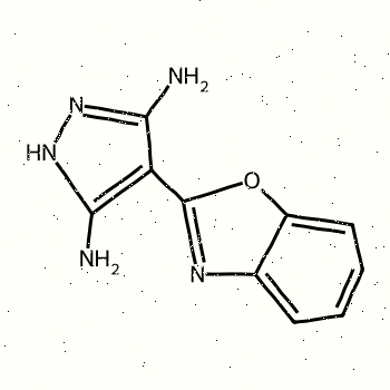 Nc1n[nH]c(N)c1-c1nc2ccccc2o1